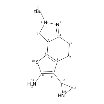 CC(C)(C)N1CC2C(=N1)CCc1c2sc(N)c1C1CN1